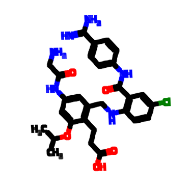 CC(C)Oc1cc(NC(=O)CN)cc(CNc2ccc(Cl)cc2C(=O)Nc2ccc(C(=N)N)cc2)c1CCC(=O)O